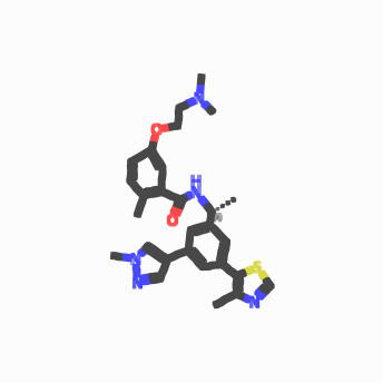 Cc1ccc(OCCN(C)C)cc1C(=O)N[C@H](C)c1cc(-c2cnn(C)c2)cc(-c2scnc2C)c1